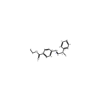 CCOC(=O)c1ccc(/N=C/N(C)c2ccccc2)cc1